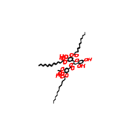 CCCCCCCCCCCC(=O)Oc1cc(C(=O)OC2Cc3c(O)cc(O)cc3OC2c2cc(OC(=O)CCCCCCCCCCC)c(O)c(OC(=O)CCCCCCCCCCC)c2)cc(OC(C)=O)c1O